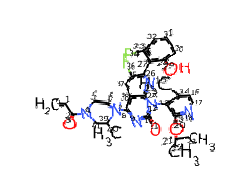 C=CC(=O)N1CCN(c2nc(=O)n(-c3c(C)ccnc3OC(C)C)c3nc(-c4c(O)cccc4F)c(F)cc23)C(C)C1